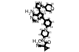 CN(C(=O)C1(C#N)CC1)C1CCN(c2cccc(-c3cc(-c4ccnn4C4CCOCC4)c4c(N)ncnn34)c2)CC1